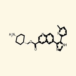 Cc1cccc(-c2[nH]cnc2-c2ccc3ncc(C(=O)OC[C@H]4CC[C@@H](N)CC4)cc3c2)n1